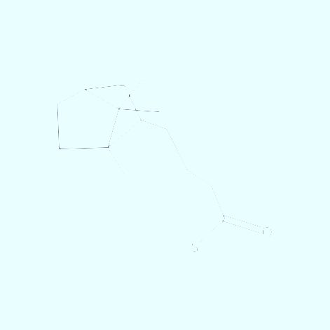 CC1(C)C2CCC1(C)C(CCCC(=O)[S])C2